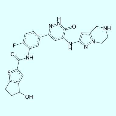 O=C(Nc1cc(-c2cc(Nc3cc4n(n3)CCNC4)c(=O)[nH]n2)ccc1F)c1cc2c(s1)CCC2O